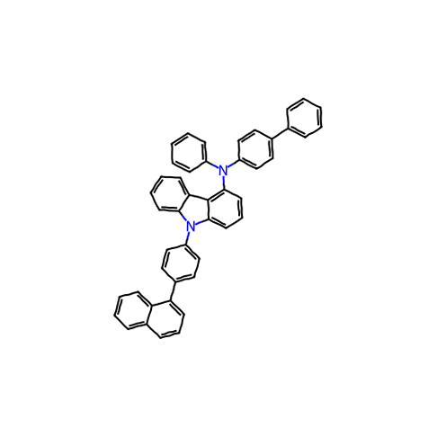 c1ccc(-c2ccc(N(c3ccccc3)c3cccc4c3c3ccccc3n4-c3ccc(-c4cccc5ccccc45)cc3)cc2)cc1